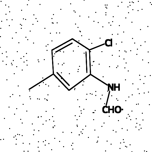 Cc1ccc(Cl)c(N[C]=O)c1